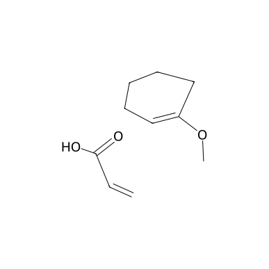 C=CC(=O)O.COC1=CCCCC1